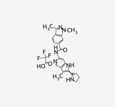 Cc1c([C@H]2CCCN2)[nH]c2cc(NC(=O)c3ccc4c(C)nn(C)c4c3)ncc12.O=C(O)C(F)(F)F